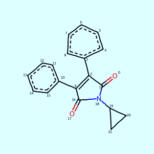 O=C1C(c2ccccc2)=C(c2ccccc2)C(=O)N1C1CC1